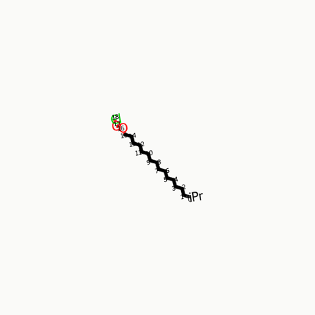 CC(C)CCCCCCCCCCCCCCCOOCl